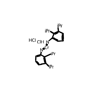 CC(C)c1cccc([N]=[Cr]=[N]c2cccc(C(C)C)c2C(C)C)c1C(C)C.Cl.Cl